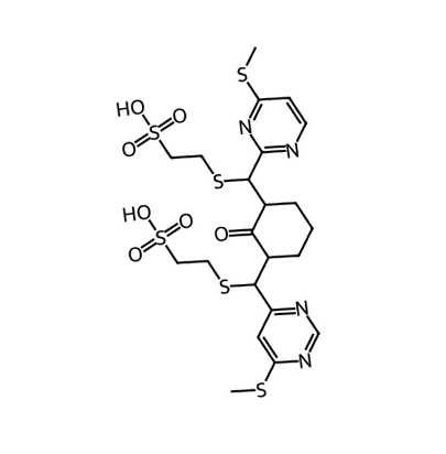 CSc1cc(C(SCCS(=O)(=O)O)C2CCCC(C(SCCS(=O)(=O)O)c3nccc(SC)n3)C2=O)ncn1